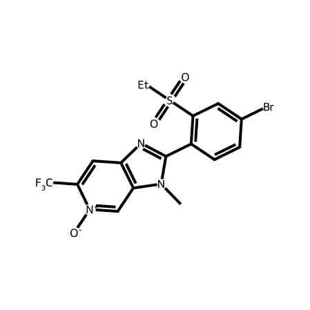 CCS(=O)(=O)c1cc(Br)ccc1-c1nc2cc(C(F)(F)F)[n+]([O-])cc2n1C